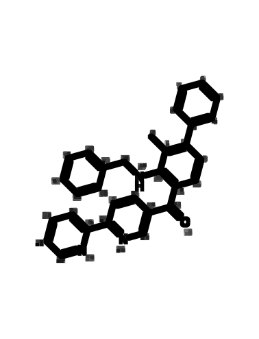 Cc1c(-c2ccccc2)ccc(C(=O)c2ccc(-c3ccccn3)nc2)c1NCc1ccccc1